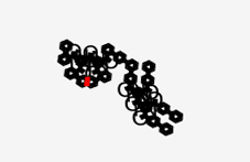 O=C(c1ccc(-c2ccccc2)cc1)c1nc(C(=O)c2ccc(-c3ccccc3)cc2)nc(C(=O)c2nc(C(=O)c3ccc(-c4ccccc4)cc3)nc(C(=O)c3ccc(-c4cccc(-c5ccc(-c6ccccc6C(=O)c6nc(C(=O)c7nc(C(=O)c8ccccc8-c8ccccc8)nc(C(=O)c8ccccc8-c8ccccc8)n7)nc(C(=O)c7ccccc7-c7ccccc7)n6)cc5)c4)cc3)n2)n1